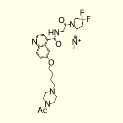 C[N+]#C[C@H]1CC(F)(F)CN1C(=O)CNC(=O)c1ccnc2ccc(OCCCCN3CCN(C(C)=O)CC3)cc12